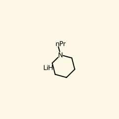 [CH2]CCN1CCCCC1.[LiH]